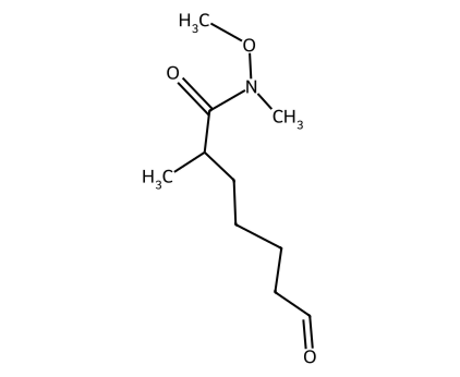 CON(C)C(=O)C(C)CCCCC=O